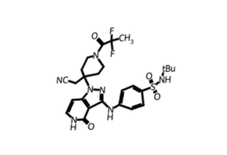 CC(C)(C)NS(=O)(=O)c1ccc(Nc2nn(C3(CC#N)CCN(C(=O)C(C)(F)F)CC3)c3cc[nH]c(=O)c23)cc1